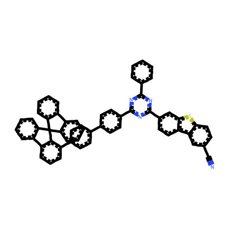 N#Cc1ccc2sc3cc(-c4nc(-c5ccccc5)nc(-c5ccc(-c6ccc(-c7cccc8c7C7(c9ccccc9-c9ccccc97)c7ccccc7-8)cc6)cc5)n4)ccc3c2c1